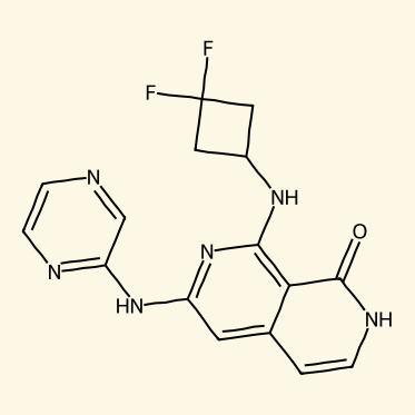 O=c1[nH]ccc2cc(Nc3cnccn3)nc(NC3CC(F)(F)C3)c12